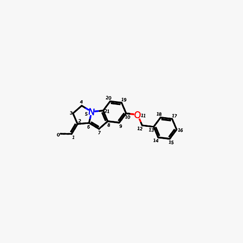 CC=C1CCn2c1cc1cc(OCc3ccccc3)ccc12